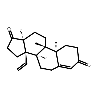 C=C[C@@]12CCC(=O)[C@@]1(C)CC[C@@]1(C)[C@@]2(I)CCC2=CC(=O)CC[C@@]21C